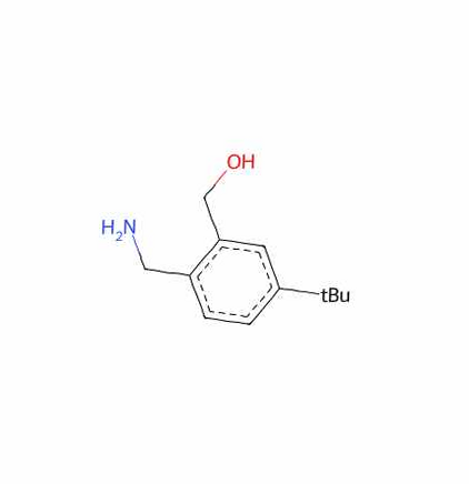 CC(C)(C)c1ccc(CN)c(CO)c1